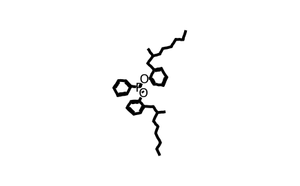 CCCCCCC(C)Cc1ccccc1OP(Oc1ccccc1CC(C)CCCCCC)c1ccccc1